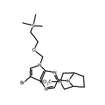 C[Si](C)(C)CCOCn1cc(Br)c2ncc(N3C4CCC3CN(C(=O)O)C4)nc21